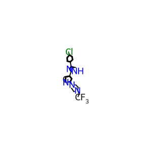 FC(F)(F)CN1CCN(c2cc(-c3nc(-c4ccc(Cl)cc4)c[nH]3)ccn2)CC1